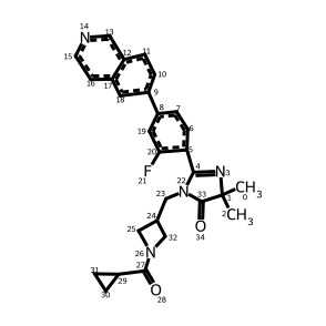 CC1(C)N=C(c2ccc(-c3ccc4cnccc4c3)cc2F)N(CC2CN(C(=O)C3CC3)C2)C1=O